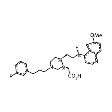 COc1ccc2nccc([C@H](F)CC[C@@H]3CCN(CCCc4cccc(F)c4)C[C@@H]3CC(=O)O)c2c1